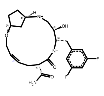 NC(=O)[C@@H]1C/C=C\CO[C@H]2CC[C@H](C2)NC[C@@H](O)[C@H](Cc2cc(F)cc(F)c2)NC1=O